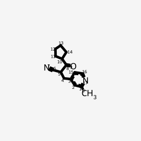 Cc1cc(CC(C#N)C(=O)C2CCCC2)ccn1